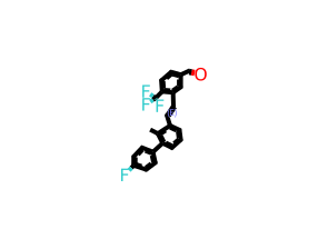 Cc1c(/C=C/c2cc(C=O)ccc2C(F)(F)F)cccc1-c1ccc(F)cc1